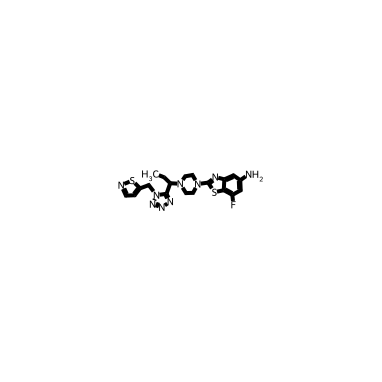 CCC(c1nnnn1Cc1ccns1)N1CCN(c2nc3cc(N)cc(F)c3s2)CC1